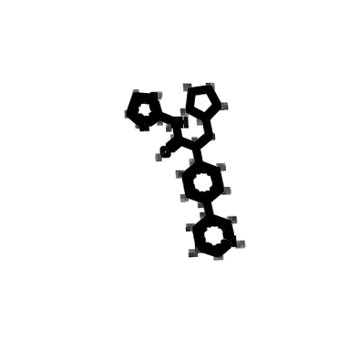 O=C(Nc1nccs1)C(CC1CCCC1)c1ccc(-c2cncnc2)cc1